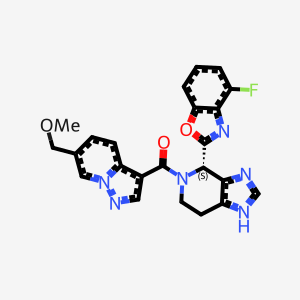 COCc1ccc2c(C(=O)N3CCc4[nH]cnc4[C@H]3c3nc4c(F)cccc4o3)cnn2c1